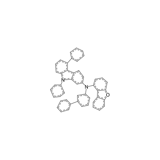 c1ccc(-c2cccc(N(c3ccc4c5c(-c6ccccc6)cccc5n(-c5ccccc5)c4c3)c3cccc4oc5ccccc5c34)c2)cc1